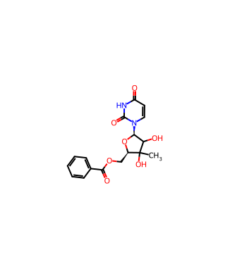 CC1(O)C(O)[C@H](n2ccc(=O)[nH]c2=O)O[C@@H]1COC(=O)c1ccccc1